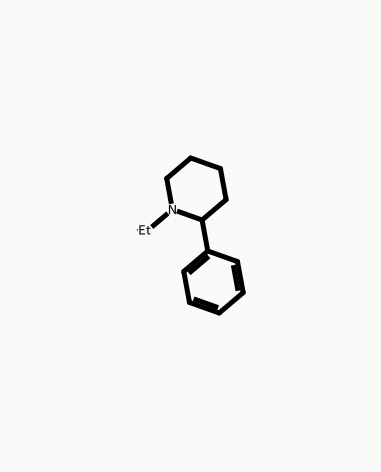 C[CH]N1CCCCC1c1ccccc1